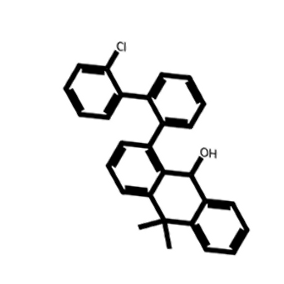 CC1(C)c2ccccc2C(O)c2c(-c3ccccc3-c3ccccc3Cl)cccc21